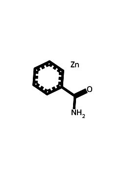 NC(=O)c1ccccc1.[Zn]